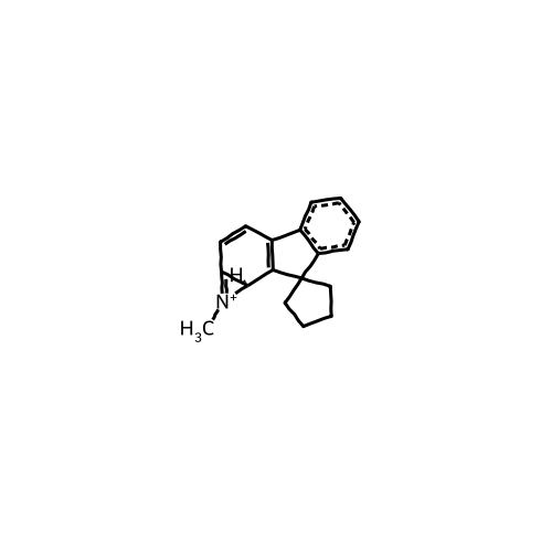 C[N+]1=C2C=CC3=C([C@H]21)C1(CCCC1)c1ccccc13